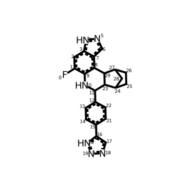 Fc1cc2[nH]ncc2c2c1NC(c1ccc(-c3cnn[nH]3)cc1)C1C3CCC(C3)C21